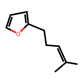 CC(C)=CCCc1ccco1